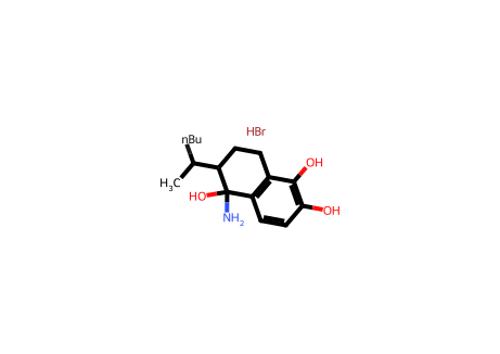 Br.CCCCC(C)C1CCc2c(ccc(O)c2O)C1(N)O